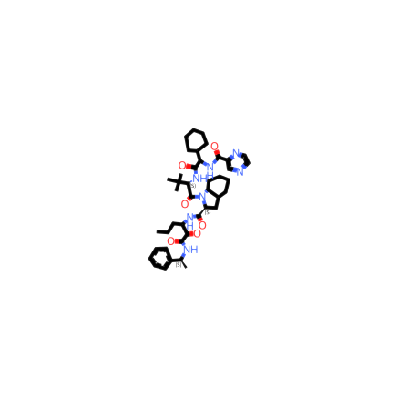 CCCC(NC(=O)[C@@H]1CC2CCCCC2N1C(=O)[C@@H](NC(=O)C(NC(=O)c1cnccn1)C1CCCCC1)C(C)(C)C)C(=O)C(=O)N[C@@H](C)c1ccccc1